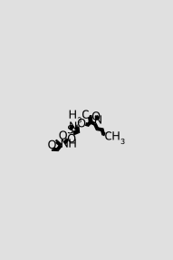 CCCCc1noc(C)c1COc1cc(OC(=O)NC2CCOC2)sn1